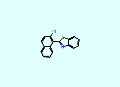 Clc1ccc2ccccc2c1-c1nc2ccccc2s1